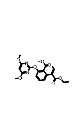 C/C=C(/C(=O)OCC)c1cccc(Oc2nc(OC)cc(OC)n2)c1C(=O)O